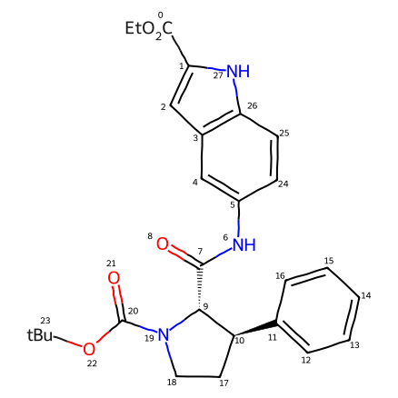 CCOC(=O)c1cc2cc(NC(=O)[C@@H]3[C@@H](c4ccccc4)CCN3C(=O)OC(C)(C)C)ccc2[nH]1